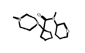 CN1CCN(C2(C(=O)N(C)C3CCCOC3)CCCC2)CC1